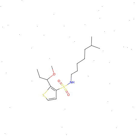 CCC(OC)c1sccc1S(=O)(=O)NCCCCCC(C)C